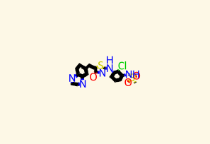 CS(=O)(=O)Nc1cccc(NC2=NC(=O)C(=Cc3ccc4nccnc4c3)S2)c1Cl